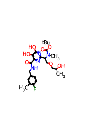 Cc1cc(CNC(=O)c2nc(C(COC[C@@H](C)O)N(C)C(=O)OC(C)(C)C)nc(O)c2O)ccc1F